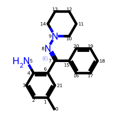 Cc1ccc(N)c(/C(=N/N2CCCCC2)c2ccccc2)c1